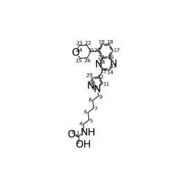 O=C(O)NCCCCCCn1cc(-c2cnc3cccc(C4CCOCC4)c3n2)cn1